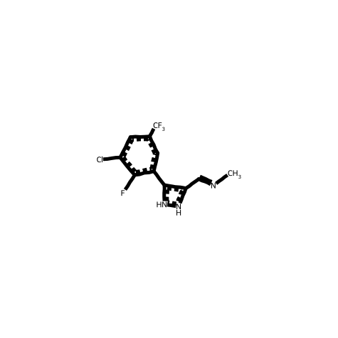 C/N=C/c1[nH][nH]c1-c1cc(C(F)(F)F)cc(Cl)c1F